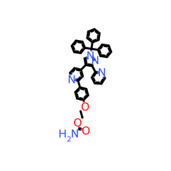 NC(=O)OCCOc1ccc(-c2cc(-c3cn(C(c4ccccc4)(c4ccccc4)c4ccccc4)nc3-c3ccccn3)ccn2)cc1